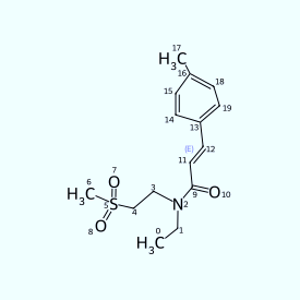 CCN(CCS(C)(=O)=O)C(=O)/C=C/c1ccc(C)cc1